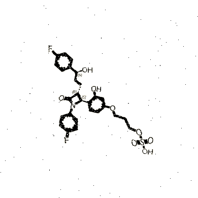 O=C1[C@H](CC[C@H](O)c2ccc(F)cc2)[C@@H](c2ccc(OCCCOS(=O)(=O)O)cc2O)N1c1ccc(F)cc1